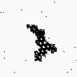 CC(C)(C)OC(=O)c1ccc(-c2cc(C(F)(F)F)ccc2C2CCOc3cc(S(=O)(=O)Nc4ncc(F)cn4)ccc32)cc1